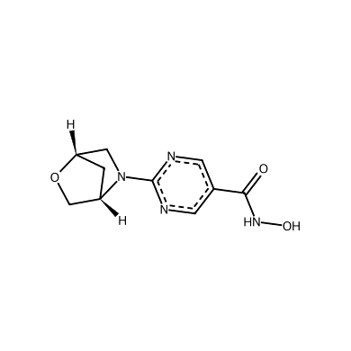 O=C(NO)c1cnc(N2C[C@@H]3C[C@H]2CO3)nc1